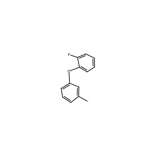 [CH2]c1cccc(Oc2ccccc2F)c1